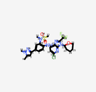 Cc1cc(-c2ccc(Nc3cc(Cl)nc4c3nc(C(F)F)n4C3CCCCO3)c(N(C)S(C)(=O)=O)c2)nn1C